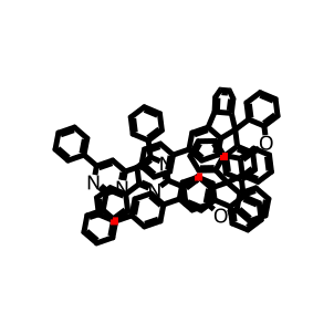 c1ccc(-c2cc(-c3ccccc3)nc(-c3ccc(-c4ccccc4-c4ccc5c(c4)Oc4ccccc4C54c5ccccc5-c5cc(-c6ccc(-c7cc(-c8ccccc8)nc(-c8ccccc8-c8ccc(-c9ccc%10c(c9)Oc9ccccc9C%109c%10ccccc%10-c%10ccccc%109)cc8)n7)cc6)ccc54)cc3)n2)cc1